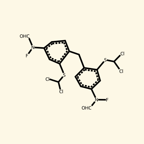 O=CN(F)c1ccc(Cc2ccc(N(F)C=O)cc2SC(Cl)Cl)c(SC(Cl)Cl)c1